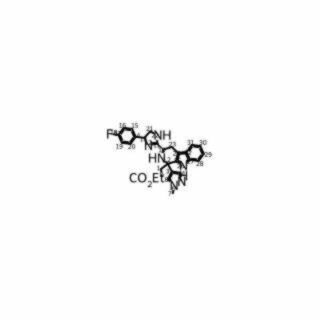 CCOC(=O)CC1(c2cnn(C)c2)N[C@@H](C2=NC(c3ccc(F)cc3)CN2)Cc2c1[nH]c1ccccc21